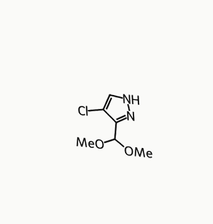 COC(OC)c1n[nH]cc1Cl